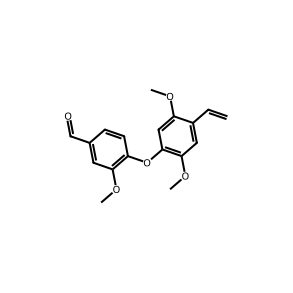 C=Cc1cc(OC)c(Oc2ccc(C=O)cc2OC)cc1OC